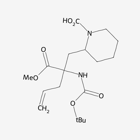 C=CCC(CC1CCCCN1C(=O)O)(NC(=O)OC(C)(C)C)C(=O)OC